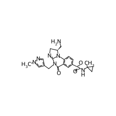 Cn1cc(CN2C(=O)c3cc(S(=O)(=O)NC4(C)CC4)ccc3N3C2=NC[C@H]3CN)cn1